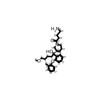 COCCCCC(O)(c1ccccc1Oc1ccccc1C)[C@@H]1CCCN(C(=O)CCCN)C1